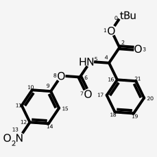 CC(C)(C)OC(=O)C(NC(=O)Oc1ccc([N+](=O)[O-])cc1)c1ccccc1